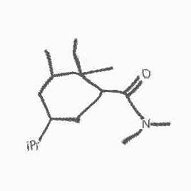 CC(C)C1CC(C)C(C)(C)C(C(=O)N(C)C)C1